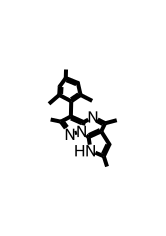 Cc1cc(C)c(-c2c(C)nn3c2nc(C)c2cc(C)[nH]c23)c(C)c1